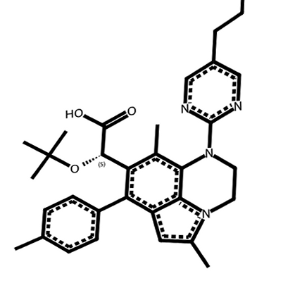 Cc1ccc(-c2c([C@H](OC(C)(C)C)C(=O)O)c(C)c3c4c2cc(C)n4CCN3c2ncc(CCO)cn2)cc1